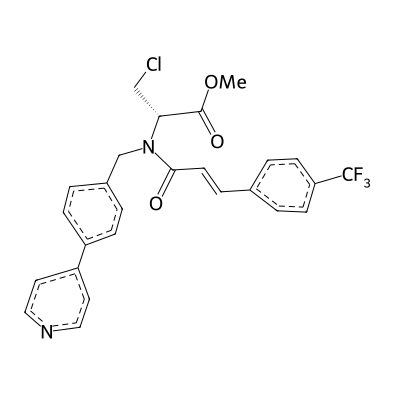 COC(=O)[C@@H](CCl)N(Cc1ccc(-c2ccncc2)cc1)C(=O)/C=C/c1ccc(C(F)(F)F)cc1